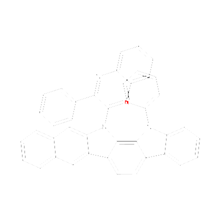 c1ccc(-c2nc3ccccc3nc2-n2c3cc4ccccc4cc3c3ccc4c5ccccc5n(-c5ccccc5)c4c32)cc1